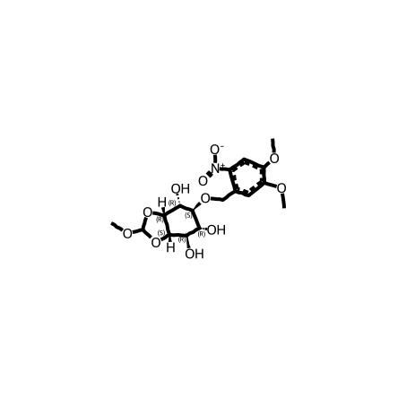 COc1cc(CO[C@H]2[C@H](O)[C@@H](O)[C@@H]3OC(OC)O[C@@H]3[C@@H]2O)c([N+](=O)[O-])cc1OC